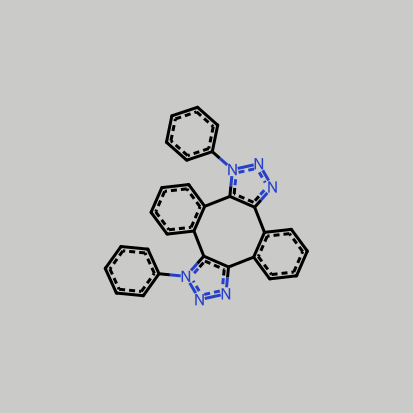 c1ccc(-n2nnc3c2-c2ccccc2-c2c(nnn2-c2ccccc2)-c2ccccc2-3)cc1